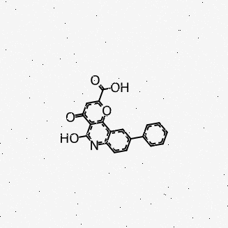 O=C(O)c1cc(=O)c2c(O)nc3ccc(-c4ccccc4)cc3c2o1